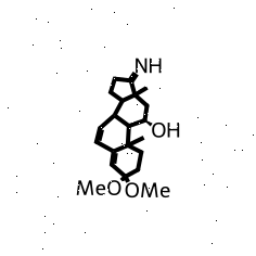 COC1(OC)C=C2C=CC3C4CCC(=N)C4(C)C[C@@H](O)C3C2(C)CC1